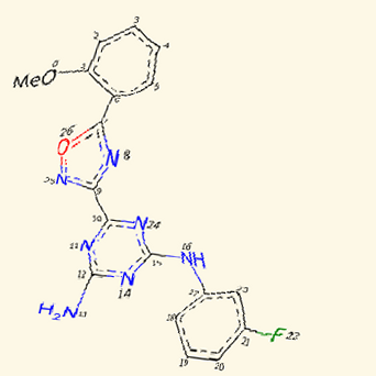 COc1ccccc1-c1nc(-c2nc(N)nc(Nc3cccc(F)c3)n2)no1